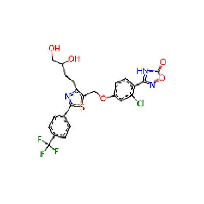 O=c1[nH]c(-c2ccc(OCc3sc(-c4ccc(C(F)(F)F)cc4)nc3CCC(O)CO)cc2Cl)no1